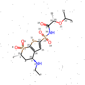 CCN[C@H]1C[C@H](C)S(=O)(=O)c2sc(S(=O)(=O)NC(=O)[C@H](C)OC(C)C)cc21